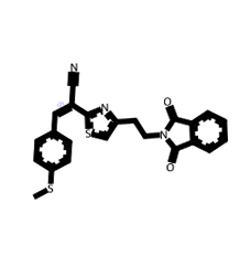 CSc1ccc(/C=C(/C#N)c2nc(CCN3C(=O)c4ccccc4C3=O)cs2)cc1